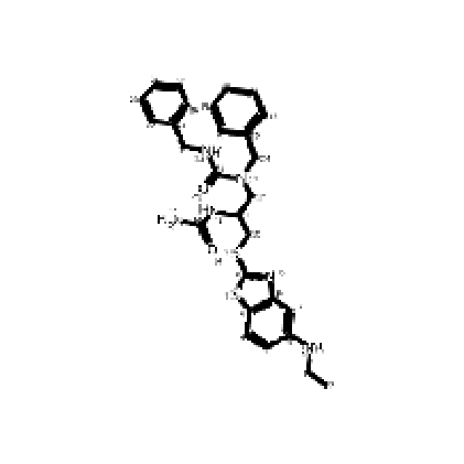 CCNc1ccc2sc(SCC(CN(Cc3ccccc3)C(=O)NCc3ccccc3)NC(N)=O)nc2c1